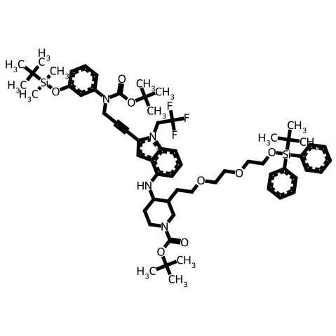 CC(C)(C)OC(=O)N1CCC(Nc2cccc3c2cc(C#CCN(C(=O)OC(C)(C)C)c2cccc(O[Si](C)(C)C(C)(C)C)c2)n3CC(F)(F)F)C(CCOCCOCCO[Si](c2ccccc2)(c2ccccc2)C(C)(C)C)C1